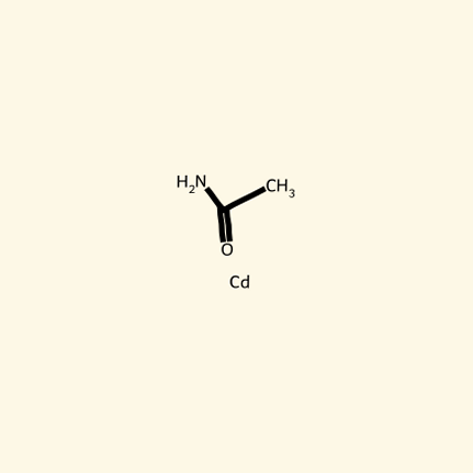 CC(N)=O.[Cd]